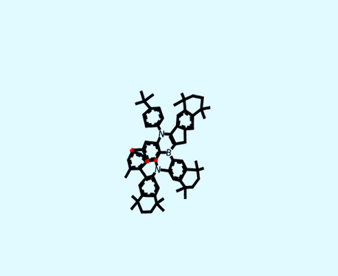 Cc1cc2c3c(c1)N(c1cc4c(cc1-c1c(C)cccc1C)C(C)(C)CCC4(C)C)c1cc4c(cc1B3C1=C(c3cc5c(cc3C1)C(C)(C)CCC5(C)C)N2c1ccc(C(C)(C)C)cc1)C(C)(C)CCC4(C)C